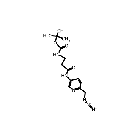 CC(C)(C)OC(=O)NCCC(=O)Nc1ccc(CN=[N+]=[N-])nc1